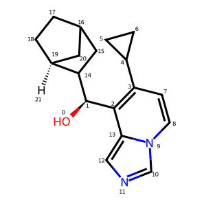 O[C@H](c1c(C2CC2)ccn2cncc12)C1CC2CC[C@H]1C2